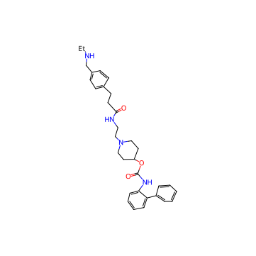 CCNCc1ccc(CCC(=O)NCCN2CCC(OC(=O)Nc3ccccc3-c3ccccc3)CC2)cc1